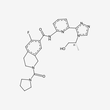 C[C@H](CO)n1cnnc1-c1cccc(NC(=O)c2cc3c(cc2F)CCN(C(=O)N2CCCC2)C3)n1